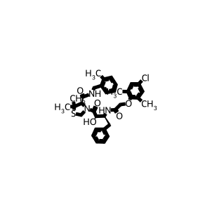 Cc1ccccc1CNC(=O)[C@H]1N(C(=O)[C@@H](O)[C@H](Cc2ccccc2)NC(=O)COc2c(C)cc(Cl)cc2C)CSC1(C)C